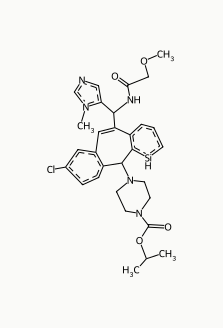 COCC(=O)NC(C1=Cc2cc(Cl)ccc2C(N2CCN(C(=O)OC(C)C)CC2)c2[siH]cccc21)c1cncn1C